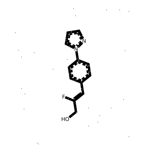 OCC(F)=Cc1ccc(-n2cccn2)cc1